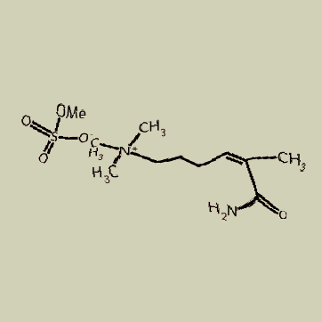 CC(=CCCC[N+](C)(C)C)C(N)=O.COS(=O)(=O)[O-]